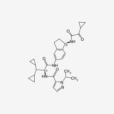 CC(C)n1nccc1C(=O)N[C@H](C(=O)Nc1ccc2c(c1)CC[C@H]2NC(=O)C(=O)C1CC1)C(C1CC1)C1CC1